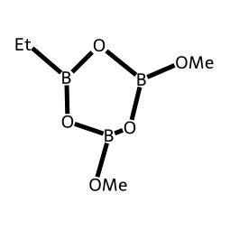 CCB1OB(OC)OB(OC)O1